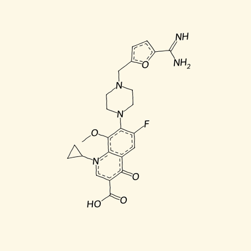 COc1c(N2CCN(Cc3ccc(C(=N)N)o3)CC2)c(F)cc2c(=O)c(C(=O)O)cn(C3CC3)c12